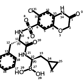 O=C1COc2cc(S(=O)(=O)N[C@@H](Cc3ccccc3)C(=O)N[C@@H](CC3CC3)B(O)O)c(Cl)cc2N1